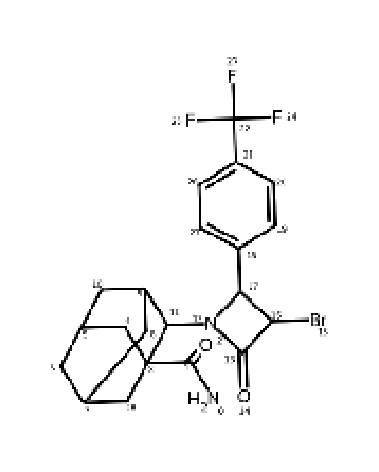 NC(=O)C12CC3CC(CC(C3)C1N1C(=O)C(Br)C1c1ccc(C(F)(F)F)cc1)C2